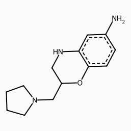 Nc1ccc2c(c1)NCC(CN1CCCC1)O2